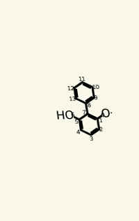 [O]c1cccc(O)c1-c1ccccc1